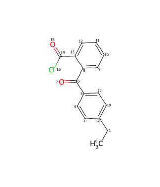 CCc1ccc(C(=O)c2ccccc2C(=O)Cl)cc1